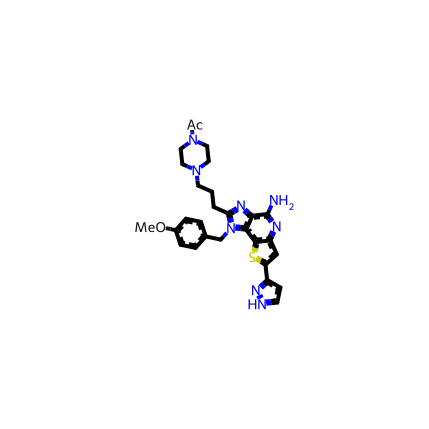 COc1ccc(Cn2c(CCCN3CCN(C(C)=O)CC3)nc3c(N)nc4cc(-c5cc[nH]n5)sc4c32)cc1